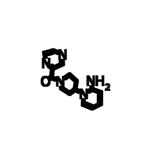 NC1C=CC=CN1C1CCN(C(=O)c2cnccn2)CC1